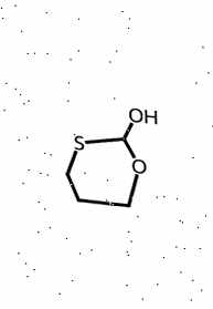 OC1OCCCS1